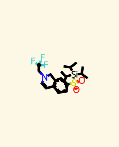 CC(C)[Si](C(C)C)(C(C)C)S(=O)(=O)c1ccc2c(c1)CN(CC(F)(F)F)C=C2